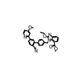 CCOc1nc2cccc(C(=O)OC)c2n1Cc1ccc(-c2cc(-c3cc(OC)ccn3)ccc2C#N)cc1